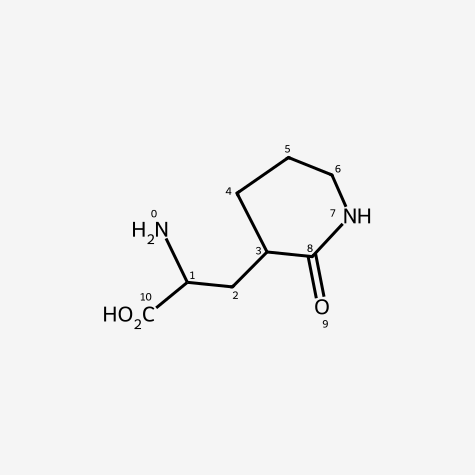 NC(CC1CCCNC1=O)C(=O)O